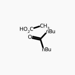 CC(=O)O.CCCCC(=O)CCCC